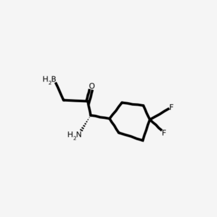 BCC(=O)[C@@H](N)C1CCC(F)(F)CC1